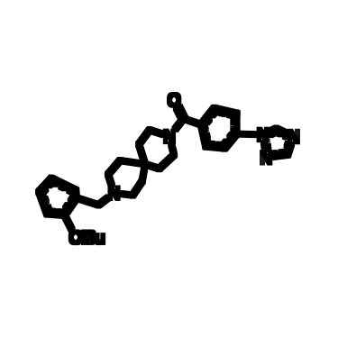 CC(C)COc1ccccc1CN1CCC2(CC1)CCN(C(=O)c1ccc(-n3cncn3)cc1)CC2